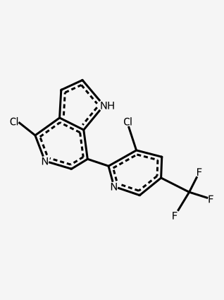 FC(F)(F)c1cnc(-c2cnc(Cl)c3cc[nH]c23)c(Cl)c1